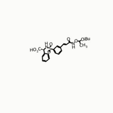 CC(C)COC(C)ONC(=O)/C=C/c1cccc(S(=O)(=O)N[C@H](C(=O)O)c2ccccc2)c1